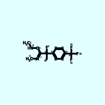 C/N=C(\ONC)C(F)(F)c1ccc(C(F)(F)F)cc1